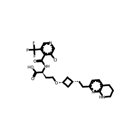 O=C(N[C@@H](CCO[C@H]1C[C@@H](CCc2ccc3c(n2)NCCC3)C1)C(=O)O)c1c(Cl)cncc1C(F)(F)F